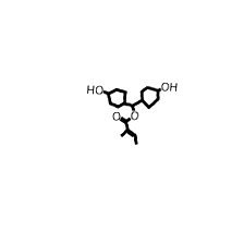 CC=C(C)C(=O)OC(C1CCC(O)CC1)C1CCC(O)CC1